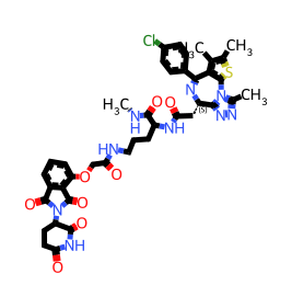 CNC(=O)C(CCCNC(=O)COc1cccc2c1C(=O)N(C1CCC(=O)NC1=O)C2=O)NC(=O)C[C@@H]1N=C(c2ccc(Cl)cc2)c2c(sc(C)c2C)-n2c(C)nnc21